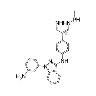 N=C/C(=C\NPI)c1ccc(Nc2nn(-c3cccc(N)c3)c3ccccc23)cc1